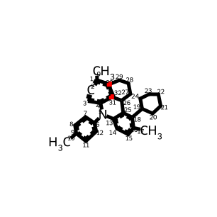 Cc1ccc(N(c2ccc(C)cc2)c2ccc(C)c(C3CCCCC3)c2C2CCCCC2)cc1